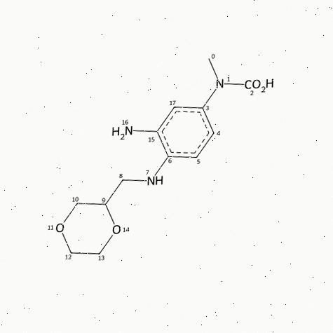 CN(C(=O)O)c1ccc(NCC2COCCO2)c(N)c1